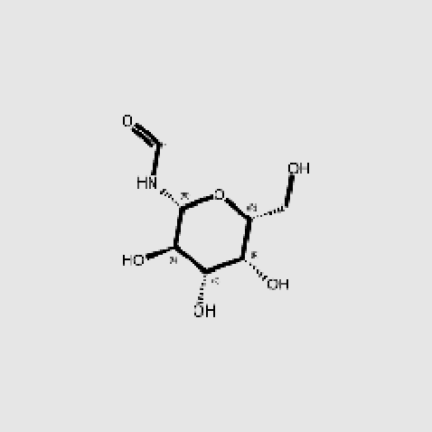 O=[C]N[C@@H]1O[C@H](CO)[C@H](O)[C@H](O)[C@H]1O